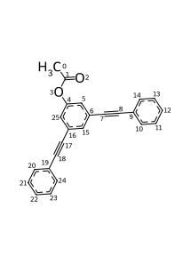 CC(=O)Oc1cc(C#Cc2ccccc2)cc(C#Cc2ccccc2)c1